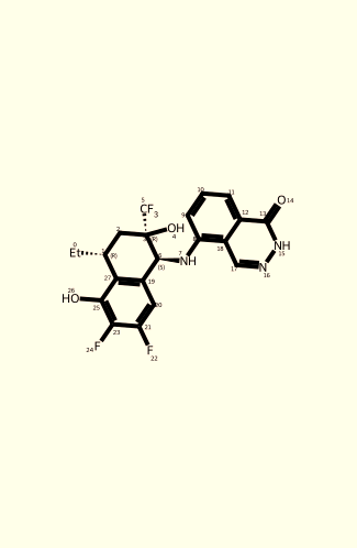 CC[C@@H]1C[C@](O)(C(F)(F)F)[C@@H](Nc2cccc3c(=O)[nH]ncc23)c2cc(F)c(F)c(O)c21